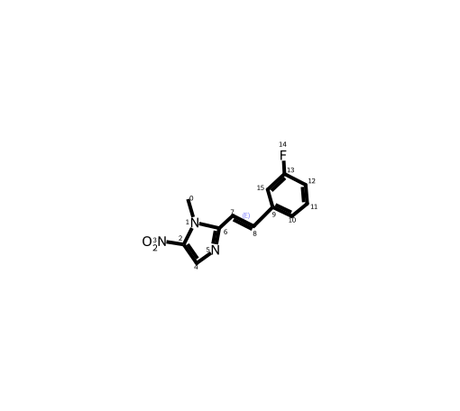 Cn1c([N+](=O)[O-])cnc1/C=C/c1cccc(F)c1